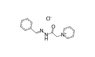 O=C(C[n+]1ccccc1)NN=Cc1ccccc1.[Cl-]